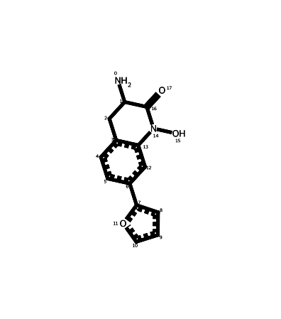 NC1Cc2ccc(-c3ccco3)cc2N(O)C1=O